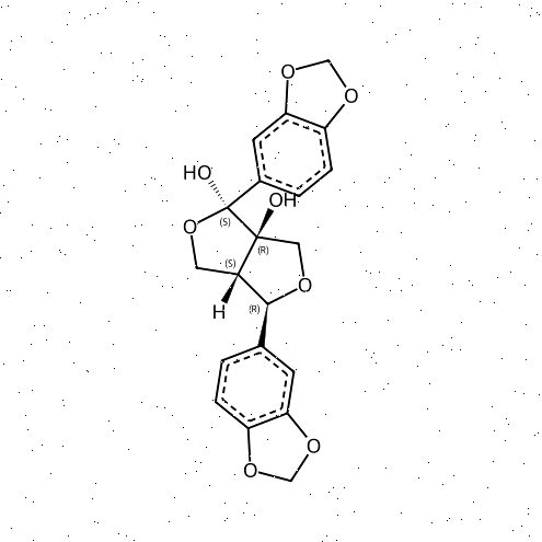 O[C@@]1(c2ccc3c(c2)OCO3)OC[C@H]2[C@H](c3ccc4c(c3)OCO4)OC[C@]21O